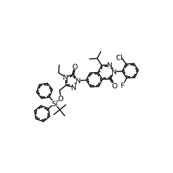 CCn1c(CO[Si](c2ccccc2)(c2ccccc2)C(C)(C)C)nn(-c2ccc3c(=O)n(-c4c(F)cccc4Cl)nc(C(C)C)c3c2)c1=O